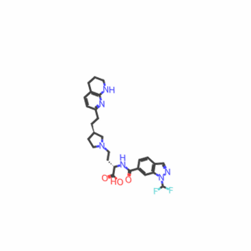 O=C(N[C@@H](CCN1CC[C@@H](CCc2ccc3c(n2)NCCC3)C1)C(=O)O)c1ccc2cnn(C(F)F)c2c1